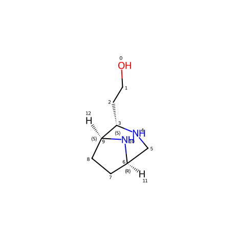 OCC[C@@H]1NC[C@H]2CC[C@@H]1N2